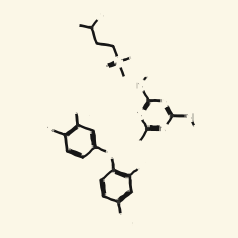 CCNc1nc(Cl)nc(NCC)n1.CP(=O)(O)CCC(N)C(=O)O.O=C(O)c1cc(Oc2ccc(C(F)(F)F)cc2Cl)ccc1[N+](=O)[O-]